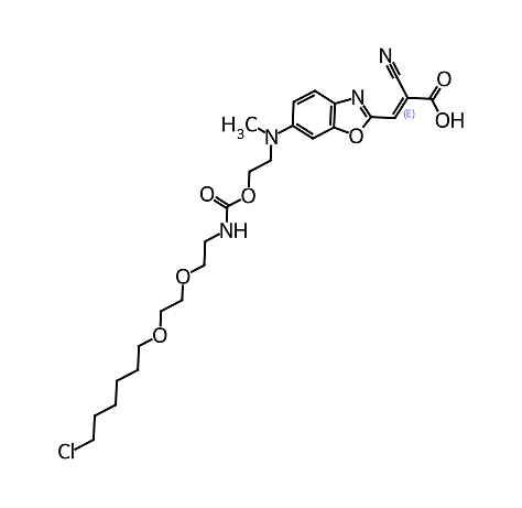 CN(CCOC(=O)NCCOCCOCCCCCCCl)c1ccc2nc(/C=C(\C#N)C(=O)O)oc2c1